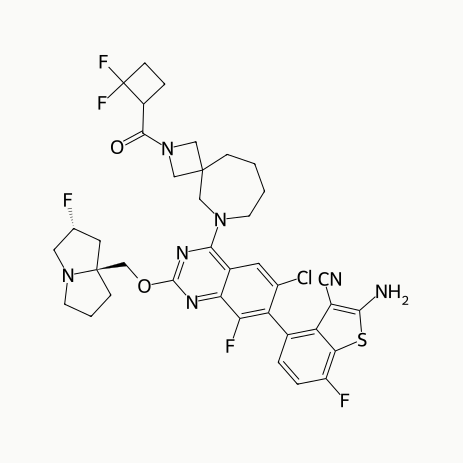 N#Cc1c(N)sc2c(F)ccc(-c3c(Cl)cc4c(N5CCCCC6(CN(C(=O)C7CCC7(F)F)C6)C5)nc(OC[C@@]56CCCN5C[C@H](F)C6)nc4c3F)c12